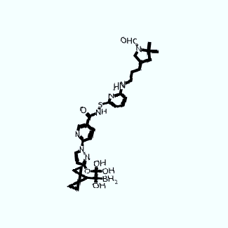 BC(O)(C1C2(CC2)C12CC2)C(O)(O)Oc1ccn(-c2ccc(C(=O)NSc3cccc(NCCCC4CN(C=O)C(C)(C)C4)n3)cn2)n1